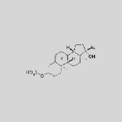 CC(=O)[C@]1(O)CC[C@H]2[C@@H]3CC=C4CC(OS(=O)(=O)O)CC[C@]4(C)[C@H]3CC[C@@]21C